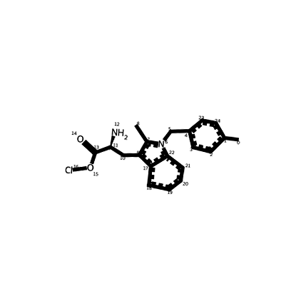 Cc1ccc(Cn2c(C)c(C[C@H](N)C(=O)OCl)c3ccccc32)cc1